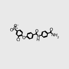 NC(=O)c1ccc(NC(=O)c2ccc(Oc3ccc([N+](=O)[O-])cc3Cl)cc2)cc1